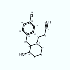 C#CCCN1CCCC(O)C1Cc1ccc(Cl)cc1